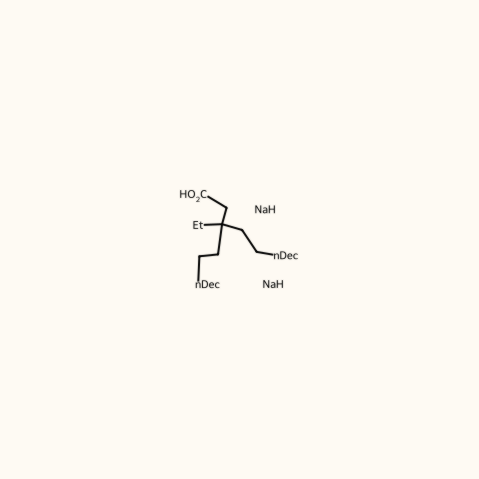 CCCCCCCCCCCCC(CC)(CCCCCCCCCCCC)CC(=O)O.[NaH].[NaH]